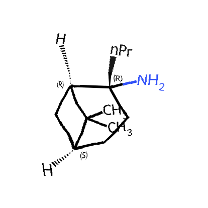 CCC[C@@]1(N)CC[C@H]2C[C@@H]1C2(C)C